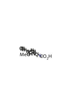 COc1cc2c(Nc3ccc(/C=C/C(=O)O)cc3)ncnc2cc1OCCCN1CCOCC1